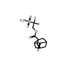 NS(=O)(=O)C(F)(F)COC(=O)C12CC3CC(C1)C(=O)C2C3